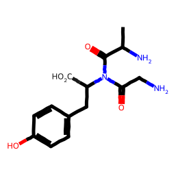 CC(N)C(=O)N(C(=O)CN)C(Cc1ccc(O)cc1)C(=O)O